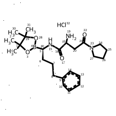 CC1(C)OB([C@H](CCCc2ccccc2)NC(=O)C(N)CC(=O)N2CCCC2)OC1(C)C.Cl